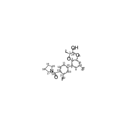 C[C@H](Oc1ccc(F)cc1-c1ccc(C(=O)N2CCCC2)c(F)c1)C(=O)O